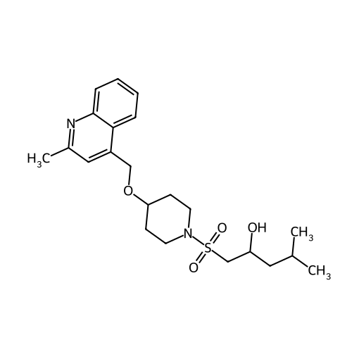 Cc1cc(COC2CCN(S(=O)(=O)CC(O)CC(C)C)CC2)c2ccccc2n1